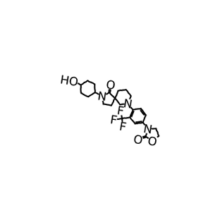 O=C1OCCN1c1ccc(N2CCCC3(CCN(C4CCC(O)CC4)C3=O)C2)c(C(F)(F)F)c1